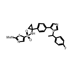 CNc1ncc(S(=O)(=O)NC2(c3ccc(-c4cncn4C(C)c4ccc(F)cc4)cc3)CC2)s1